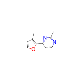 Cc1nccc(-c2occc2C)n1